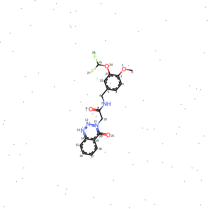 COc1ccc(CNC(=O)Cn2nnc3ccccc3c2=O)cc1OC(F)F